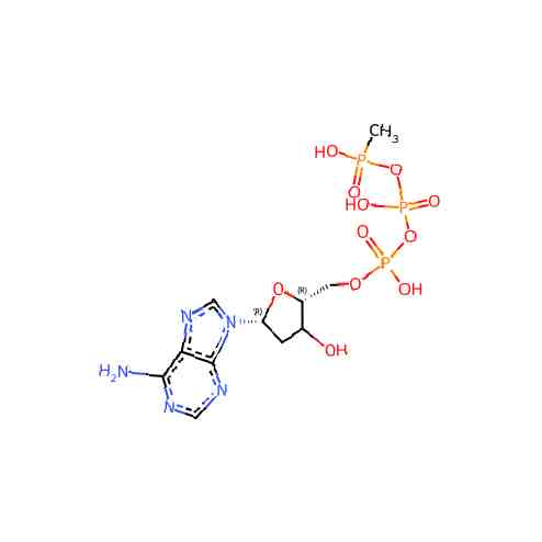 CP(=O)(O)OP(=O)(O)OP(=O)(O)OC[C@H]1O[C@@H](n2cnc3c(N)ncnc32)CC1O